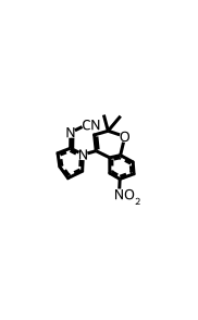 CC1(C)C=C(n2cccc/c2=N/C#N)c2cc([N+](=O)[O-])ccc2O1